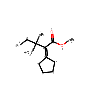 CCCCOC(=O)C(=C1CCCC1)C(CCCC)(CC(C)C)C(=O)O